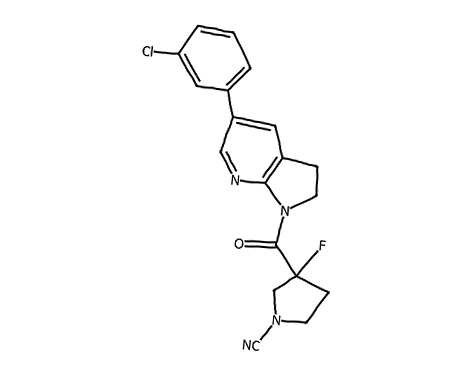 N#CN1CCC(F)(C(=O)N2CCc3cc(-c4cccc(Cl)c4)cnc32)C1